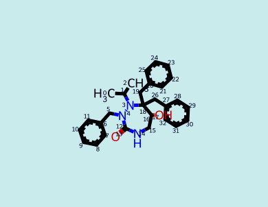 CC(C)N1N(Cc2ccccc2)C(=O)NCC(O)C1(Cc1ccccc1)Cc1ccccc1